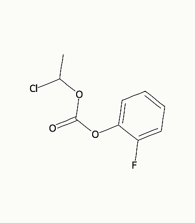 CC(Cl)OC(=O)Oc1ccccc1F